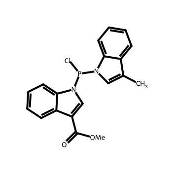 COC(=O)c1cn(P(Cl)n2cc(C)c3ccccc32)c2ccccc12